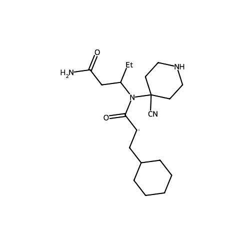 CCC(CC(N)=O)N(C(=O)[CH]CC1CCCCC1)C1(C#N)CCNCC1